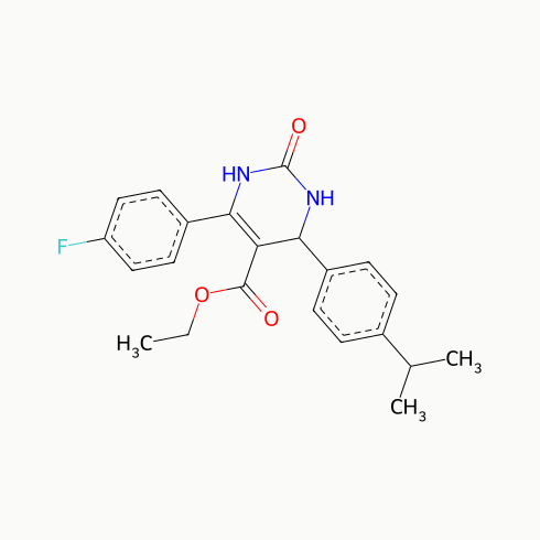 CCOC(=O)C1=C(c2ccc(F)cc2)NC(=O)NC1c1ccc(C(C)C)cc1